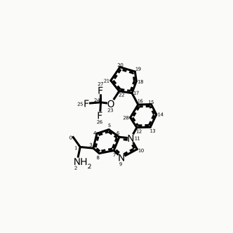 CC(N)c1ccc2c(c1)ncn2-c1cccc(-c2ccccc2OC(F)(F)F)c1